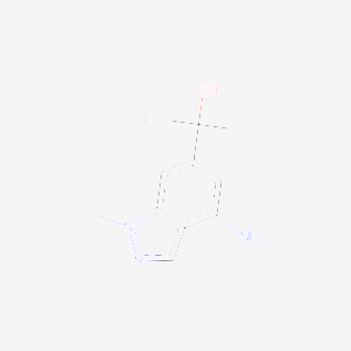 CCn1ncc2c(N)cc(C(C)(C)O)cc21